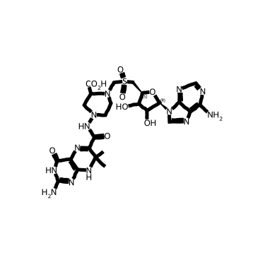 CC1(C)Nc2nc(N)[nH]c(=O)c2N=C1C(=O)NN1CCN(CS(=O)(=O)C[C@H]2O[C@@H](n3cnc4c(N)ncnc43)C(O)C2O)C(C(=O)O)C1